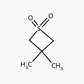 CC1(C)CS(=O)(=O)C1